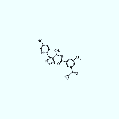 CC(NC(=O)c1cc(C(=O)C2CC2)cc(C(F)(F)F)c1)c1ncnn1-c1ccc(C#N)cn1